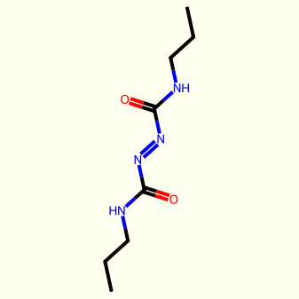 CCCNC(=O)/N=N/C(=O)NCCC